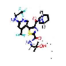 C[C@H](NC(=O)c1nc(C(=O)N2[C@H]3CC[C@H]2CC3)c(-c2cnc(N[C@@H](C)C(F)(F)F)cc2C(F)F)s1)C(C)(C)O